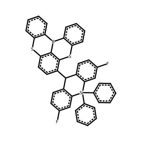 Fc1ccc2c(c1)[Si](c1ccccc1)(c1ccccc1)c1cc(F)ccc1C2c1ccc2c3c1Sc1ccccc1B3c1ccccc1S2